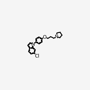 Clc1ccc2ccn(-c3ccc(OCCCN4CCCC4)cc3)c2c1